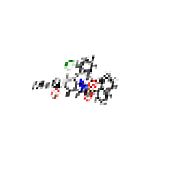 COC(=O)c1ccc2c(c1)CN(S(=O)(=O)c1cccc3ccccc13)N2Cc1cccc(Cl)c1